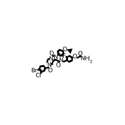 NC(=O)COc1ccc(CNC(=O)c2c3n(c(=O)n2-c2ccc(OC4CC4)cc2)CCN(C(=O)c2ccc(Br)c(Cl)c2)C3)c(F)c1